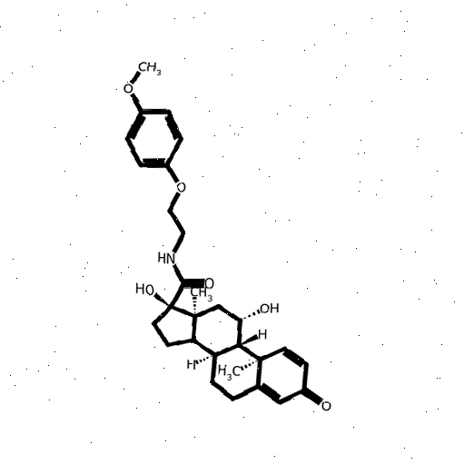 COc1ccc(OCCNC(=O)[C@@]2(O)CCC3[C@@H]4CCC5=CC(=O)C=C[C@]5(C)[C@H]4[C@@H](O)C[C@@]32C)cc1